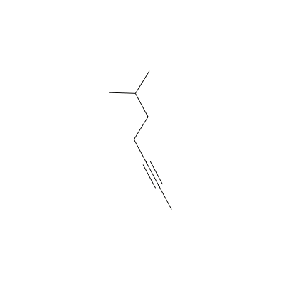 CC#CCCC(C)C